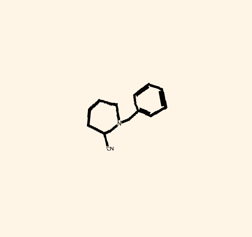 N#CC1CCCCN1Cc1ccccc1